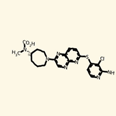 CN(C(=O)O)[C@H]1CCCN(c2cnc3nc(Sc4ccnc(N)c4Cl)ccc3n2)CC1